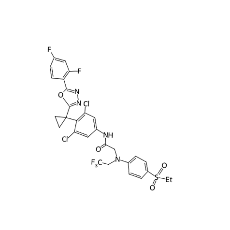 CCS(=O)(=O)c1ccc(N(CC(=O)Nc2cc(Cl)c(C3(c4nnc(-c5ccc(F)cc5F)o4)CC3)c(Cl)c2)CC(F)(F)F)cc1